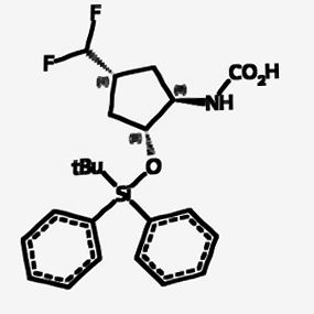 CC(C)(C)[Si](O[C@@H]1C[C@H](C(F)F)C[C@H]1NC(=O)O)(c1ccccc1)c1ccccc1